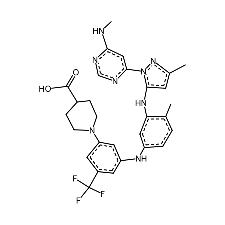 CNc1cc(-n2nc(C)cc2Nc2cc(Nc3cc(N4CCC(C(=O)O)CC4)cc(C(F)(F)F)c3)ccc2C)ncn1